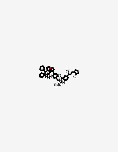 CCCCc1nc2ccc(C(=O)CCC3CCCC3=O)cc2c(=O)n1Cc1ccc(-c2ccccc2-c2nnnn2C(c2ccccc2)(c2ccccc2)c2ccccc2)cc1